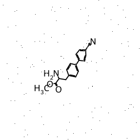 COC(=O)C(N)Cc1ccc(-c2ccc(C#N)cc2)cc1